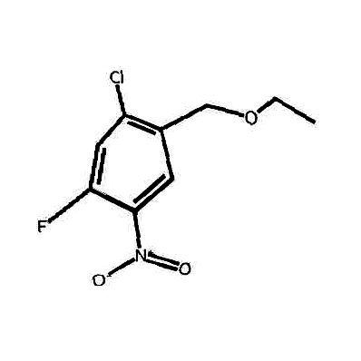 CCOCc1cc([N+](=O)[O-])c(F)cc1Cl